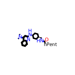 CCCCCC(=O)NC[C@H]1CC[C@@H](Nc2cc(N(C)C)c3ccccc3n2)CC1